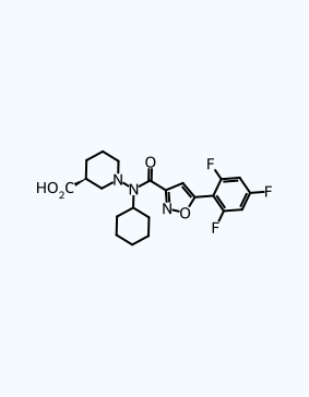 O=C(O)[C@H]1CCCN(N(C(=O)c2cc(-c3c(F)cc(F)cc3F)on2)C2CCCCC2)C1